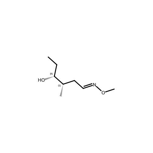 CC[C@@H](O)[C@@H](C)CC=NOC